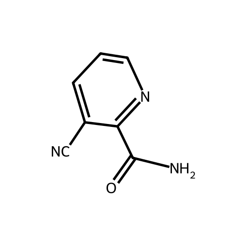 N#Cc1cccnc1C(N)=O